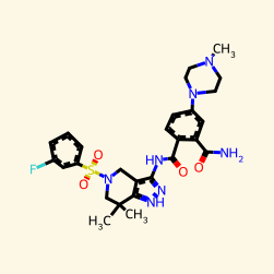 CN1CCN(c2ccc(C(=O)Nc3n[nH]c4c3CN(S(=O)(=O)c3cccc(F)c3)CC4(C)C)c(C(N)=O)c2)CC1